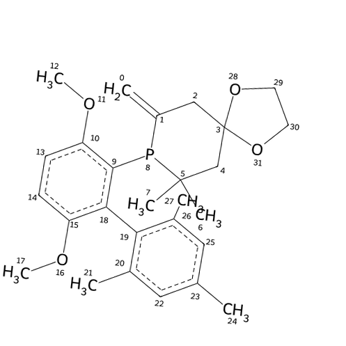 C=C1CC2(CC(C)(C)P1c1c(OC)ccc(OC)c1-c1c(C)cc(C)cc1C)OCCO2